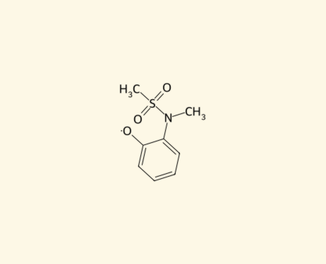 CN(c1ccccc1[O])S(C)(=O)=O